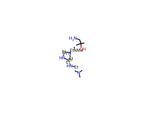 CC(C)(O)CN.CC(C)NC(C)C.CCN(CC)CC.CCNCC.CN(C)C.CNC